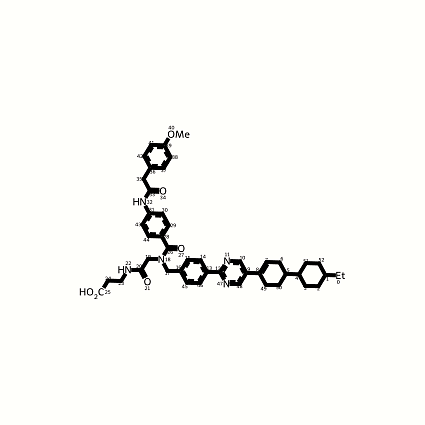 CCC1CCC(C2CC=C(c3cnc(-c4ccc(CN(CC(=O)NCCC(=O)O)C(=O)c5ccc(NC(=O)Cc6ccc(OC)cc6)cc5)cc4)nc3)CC2)CC1